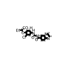 CCC(Oc1ccc(NC(=O)NC(=O)c2ccc3nccnc3c2)cc1Cl)C(=O)O